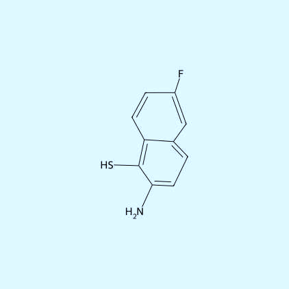 Nc1ccc2cc(F)ccc2c1S